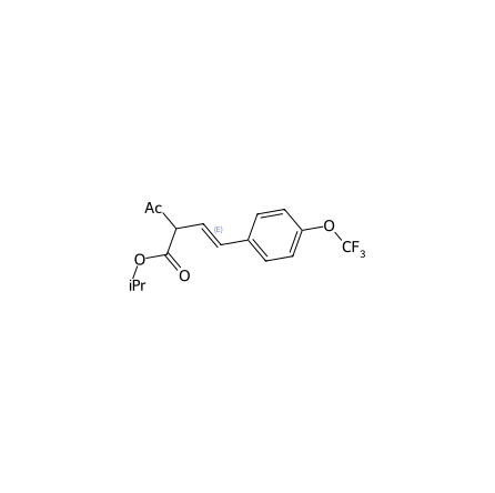 CC(=O)C(/C=C/c1ccc(OC(F)(F)F)cc1)C(=O)OC(C)C